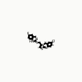 Fc1ccc2c(c1)CN=C(SCC1=CSC3=Nc4ccc(Cl)cc4CN13)N2